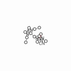 N#Cc1cccc(-n2c3ccccc3c3cc(-c4cc5c6c(c4)N(c4ccc(-c7ccccc7)cc4)c4ccccc4B6c4ccccc4N5c4ccc(-c5ccccc5)cc4)ccc32)c1-c1nc(-c2ccccc2)nc(-c2ccccc2)n1